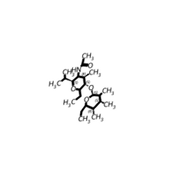 CCC1O[C@@H](C(C)C)C(NC(C)=O)[C@@H](C)[C@@H]1O[C@@H]1OC(CC)[C@H](C)[C@H](C)C1C